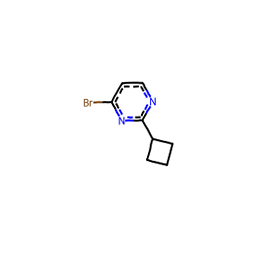 Brc1ccnc(C2CCC2)n1